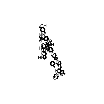 Cc1cc2c(CN3CCN(C4CC5(CCN(c6ccc(C(=O)NS(=O)(=O)c7ccc(NCC8CCC(C)(O)CC8)c([N+](=O)[O-])c7)c(N7c8cc9cc[nH]c9nc8O[C@H]8COCC[C@@H]87)c6)CC5)C4)[C@H](c4ccccc4C)C3)cnc(N3CCOCC3)c2o1